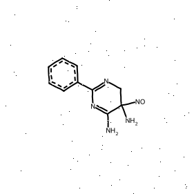 NC1=NC(c2ccccc2)=NCC1(N)N=O